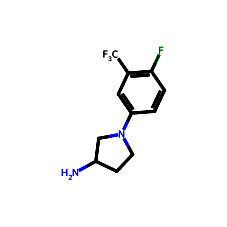 NC1CCN(c2ccc(F)c(C(F)(F)F)c2)C1